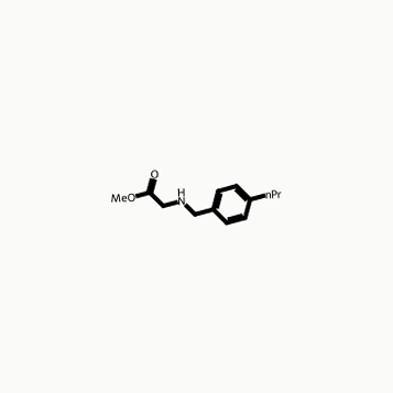 CCCc1ccc(CNCC(=O)OC)cc1